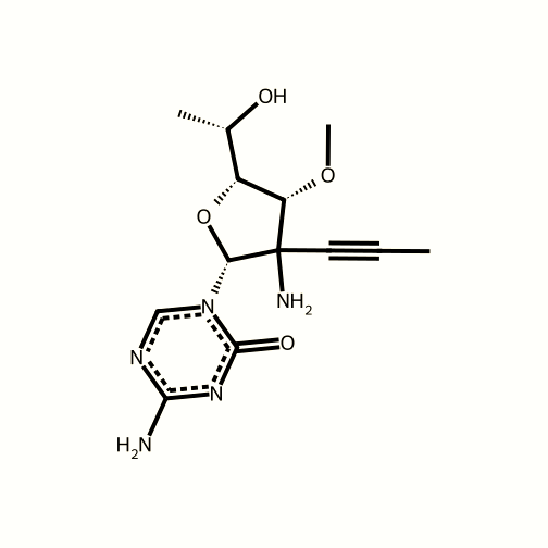 CC#CC1(N)[C@@H](OC)[C@@H]([C@H](C)O)O[C@H]1n1cnc(N)nc1=O